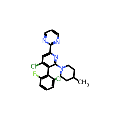 CC1CCN(c2nc(-c3ncccn3)cc(Cl)c2-c2c(F)cccc2Cl)CC1